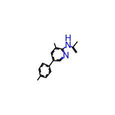 C=C(C)Nc1ncc(-c2ccc(C)cc2)cc1C